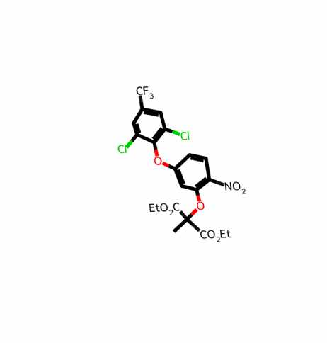 CCOC(=O)C(C)(Oc1cc(Oc2c(Cl)cc(C(F)(F)F)cc2Cl)ccc1[N+](=O)[O-])C(=O)OCC